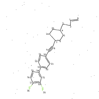 C=CCCC1CCC(C#Cc2ccc(-c3ccc(F)c(F)c3)cc2)CC1